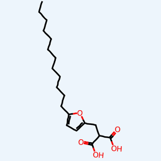 CCCCCCCCCCCCc1ccc(CC(C(=O)O)C(=O)O)o1